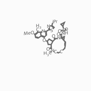 COc1ccc2c(OC3CC4C(=O)NC5(C(=O)NS(=O)(=O)C6CC6)CC5C=CCCCCN(C)C(=O)C4C3)cc(-c3nc(C(C)C)cs3)nc2c1C